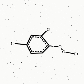 CCOOc1ccc(Cl)cc1Cl